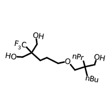 CCCCC(CO)(CCC)COCCCC(CO)(CO)C(F)(F)F